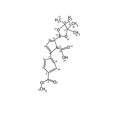 COC(=O)c1ccc(-c2ccc(B3OC(C)(C)C(C)(C)O3)n2C(=O)O)cc1